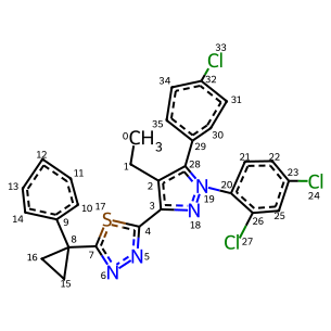 CCc1c(-c2nnc(C3(c4ccccc4)CC3)s2)nn(-c2ccc(Cl)cc2Cl)c1-c1ccc(Cl)cc1